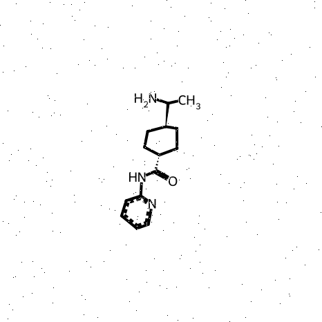 CC(N)[C@H]1CC[C@H](C(=O)Nc2ccccn2)CC1